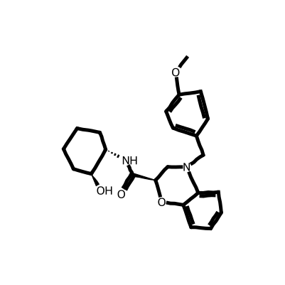 COc1ccc(CN2C[C@H](C(=O)N[C@H]3CCCC[C@@H]3O)Oc3ccccc32)cc1